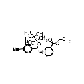 CCOC(=O)C1CCCN(C[C@@H](O[Si](C)(C)C(C)(C)C)c2ccc(C#N)cc2)C1